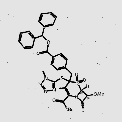 CO[C@H]1C(=O)N2C(C(=O)C(C)(C)C)=C(C)C(Cc3ccc(C(=O)OC(c4ccccc4)c4ccccc4)cc3)(Sc3nnnn3C)S(=O)(=O)[C@H]12